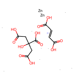 O=C(O)/C=C/C(=O)O.O=C(O)CC(O)(CC(=O)O)C(=O)O.[Zn].[Zn]